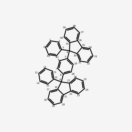 c1ccc(C2(c3ccc(C4(c5ccccc5)c5ccccc5-c5ccccc54)cc3)c3ccccc3-c3ccccc32)cc1